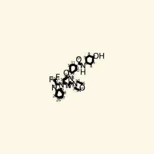 O=C(N[C@H]1CC[C@H](O)CC1)[C@H]1CC[C@H](Oc2cc(-n3c(C(F)F)nc4ccccc43)nc(N3CCOCC3)n2)CC1